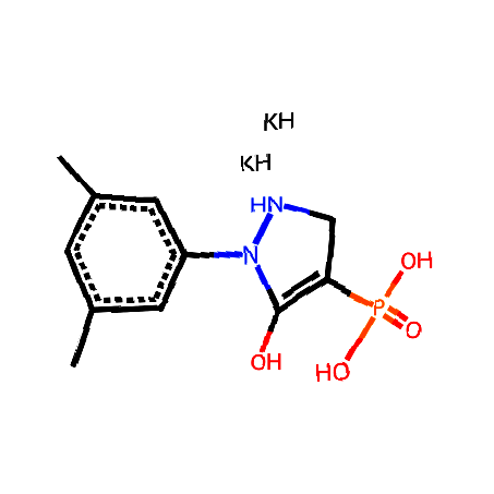 Cc1cc(C)cc(N2NCC(P(=O)(O)O)=C2O)c1.[KH].[KH]